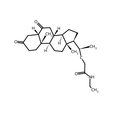 CCNC(=O)CC[C@H](C)[C@@H]1CC[C@@H]2[C@H]3CC(=O)[C@H]4CC(=O)CC[C@@]4(C)[C@@H]3CC[C@]21C